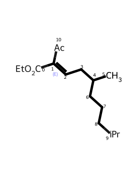 CCOC(=O)/C(=C/CC(C)CCCC(C)C)C(C)=O